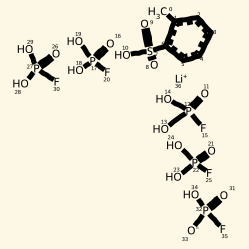 Cc1ccccc1S(=O)(=O)O.O=P(O)(O)F.O=P(O)(O)F.O=P(O)(O)F.O=P(O)(O)F.O=P([O-])(O)F.[Li+]